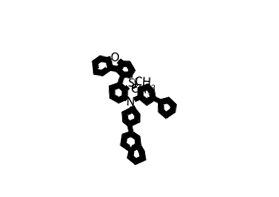 C[Si]1(C)c2ccc3oc4ccccc4c3c2-c2cccc(N(c3ccc(-c4ccc5ccccc5c4)cc3)c3cccc(-c4ccccc4)c3)c21